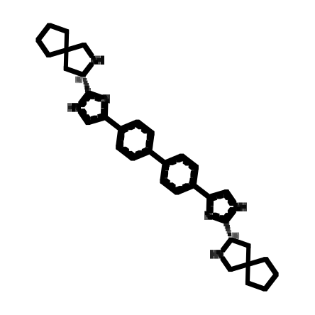 c1cc(-c2c[nH]c([C@@H]3CC4(CCCC4)CN3)n2)ccc1-c1ccc(-c2c[nH]c([C@@H]3CC4(CCCC4)CN3)n2)cc1